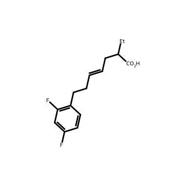 CCC(C/C=C/CCc1ccc(F)cc1F)C(=O)O